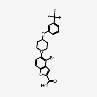 O=C(O)c1cc2c(Br)c(N3CCC(Oc4cccc(C(F)(F)F)c4)CC3)ccc2o1